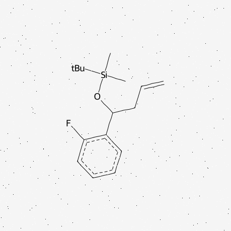 C=CCC(O[Si](C)(C)C(C)(C)C)c1ccccc1F